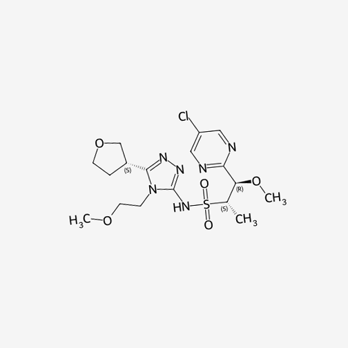 COCCn1c(NS(=O)(=O)[C@@H](C)[C@H](OC)c2ncc(Cl)cn2)nnc1[C@@H]1CCOC1